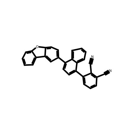 N#Cc1cccc(-c2ccc(-c3ccc4oc5ccccc5c4c3)c3ccccc23)c1C#N